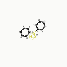 S.c1ccc(Sc2ccccc2)cc1